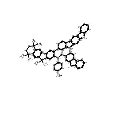 CC(C)(C)c1ccc(N2B3c4cc5oc6ccccc6c5cc4-n4c5cc6sc7ccccc7c6cc5c5ccc(c3c54)-c3cc4c(cc32)C(C)(C)c2cc3c(cc2-4)C(C)(C)CCC3(C)C)cc1